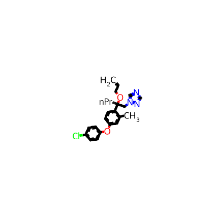 C=CCOC(CCC)(Cn1cncn1)c1ccc(Oc2ccc(Cl)cc2)cc1C